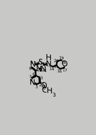 COc1cncc(-c2cnc3sc(NCC4CCOCC4)nn23)c1